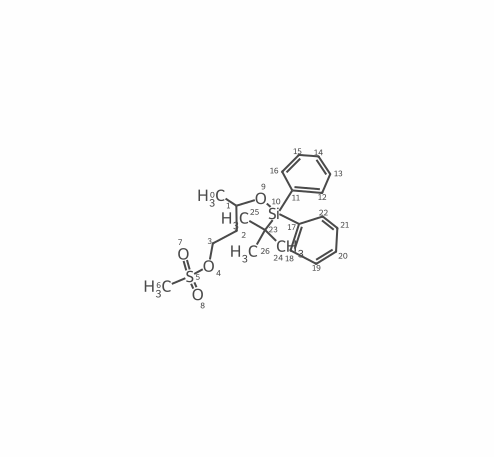 CC(CCOS(C)(=O)=O)O[Si](c1ccccc1)(c1ccccc1)C(C)(C)C